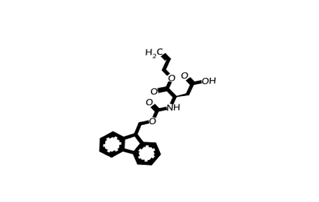 C=CCOC(=O)[C@@H](CC(=O)O)NC(=O)OCC1c2ccccc2-c2ccccc21